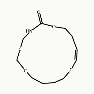 O=C1CCCC=CCCCCCCCCCN1